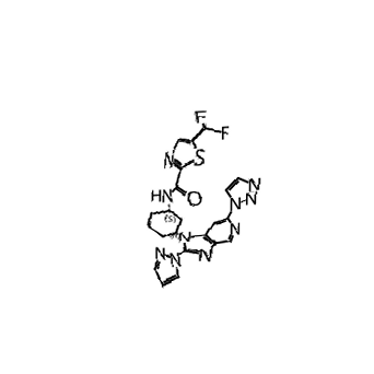 O=C(N[C@H]1CCC[C@@H](n2c(-n3cccn3)nc3cnc(-n4ccnn4)cc32)C1)c1ncc(C(F)F)s1